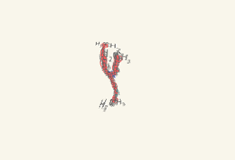 C=C(C)C(=O)OCCCCCCOc1ccc(OC(=O)C2CCC(COc3ccc4c5ccc(OCC6CCC(C(=O)Oc7ccc(OCC(CCCCOC(=O)C(C)C)C(F)(F)F)cc7)CC6)cc5c5nc6ccc(-c7cccc(OCCOCCOC(=O)C(=C)C)c7)cc6nc5c4c3)CC2)cc1